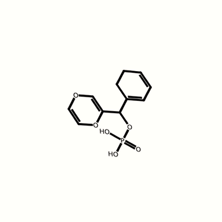 O=P(O)(O)OC(C1=CC=CCC1)C1=COC=CO1